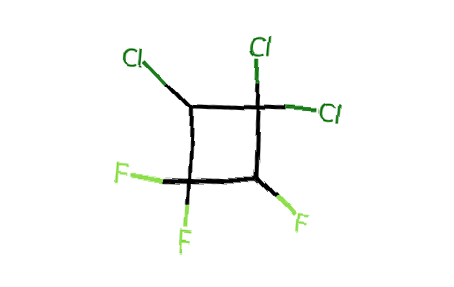 FC1C(F)(F)C(Cl)C1(Cl)Cl